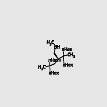 CBC[C@H](CC(C)(CCCCCC)CCCCCC)C(C)(CCCCCC)CCCCCC